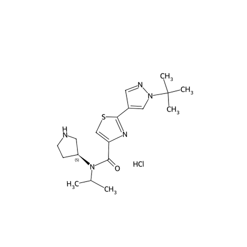 CC(C)N(C(=O)c1csc(-c2cnn(C(C)(C)C)c2)n1)[C@H]1CCNC1.Cl